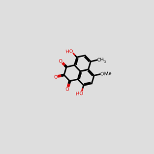 COc1cc(O)c2c3c(c(O)cc(C)c13)C(=O)C(=O)C2=O